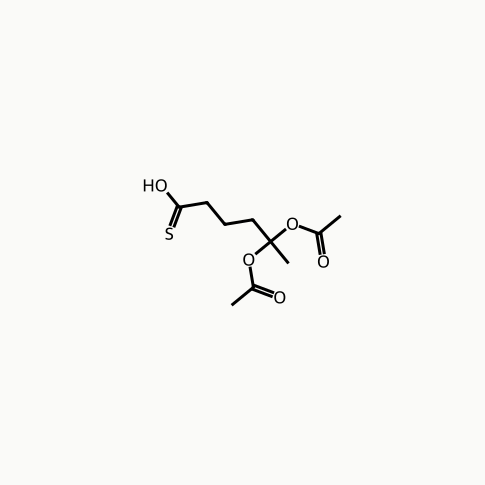 CC(=O)OC(C)(CCCC(O)=S)OC(C)=O